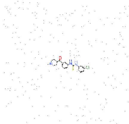 CN1CCC(C(=O)c2cccc(NC(=S)Nc3cccc(Cl)c3)c2)CC1